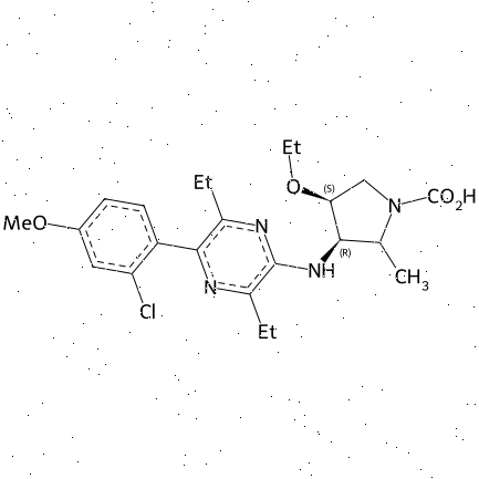 CCO[C@H]1CN(C(=O)O)C(C)[C@H]1Nc1nc(CC)c(-c2ccc(OC)cc2Cl)nc1CC